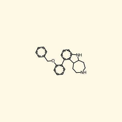 c1ccc(COc2ccccc2-c2cccc3c2C2CCNCCC2N3)cc1